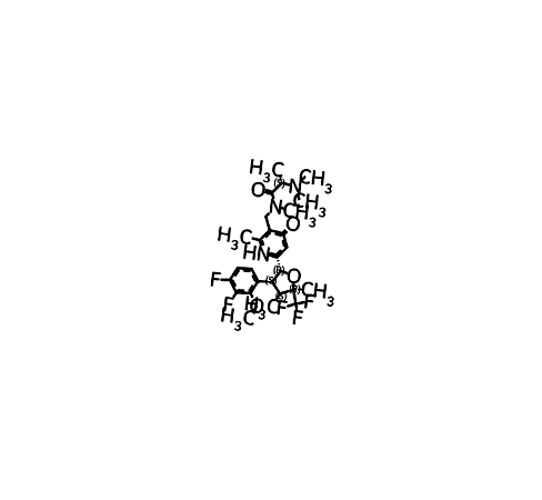 COc1c([C@H]2[C@H](c3cc(=O)c(CN(C)C(=O)[C@H](C)N(C)C)c(C)[nH]3)O[C@@](C)(C(F)(F)F)[C@H]2C)ccc(F)c1F